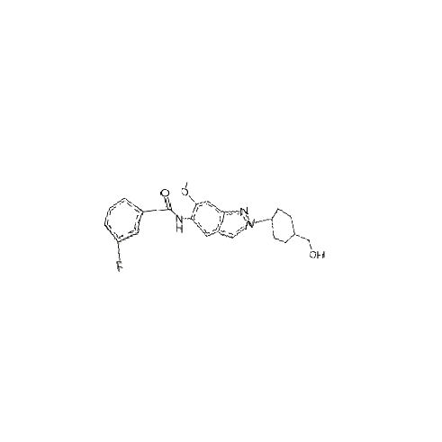 COc1cc2nn(C3CCC(CO)CC3)cc2cc1NC(=O)c1cccc(F)c1